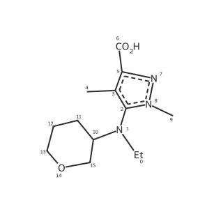 CCN(c1c(C)c(C(=O)O)nn1C)C1CCCOC1